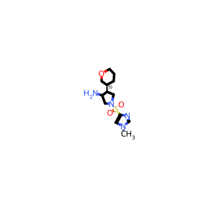 Cn1cnc(S(=O)(=O)N2CC(N)C([C@@H]3CCCOC3)C2)c1